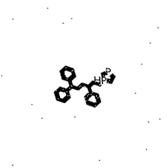 C1=PC[PH](CCC(CCC(c2ccccc2)c2ccccc2)c2ccccc2)=C1